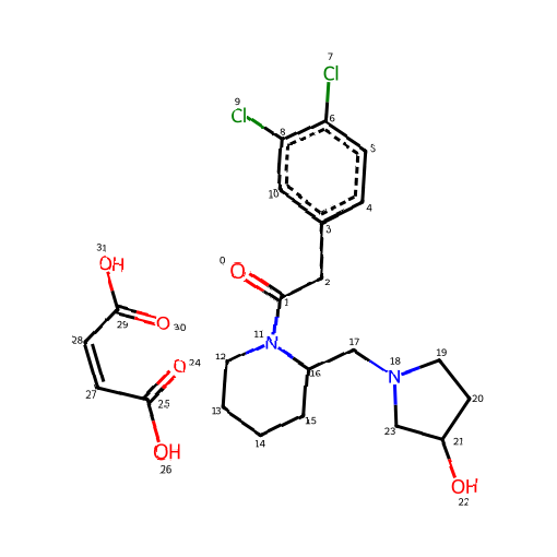 O=C(Cc1ccc(Cl)c(Cl)c1)N1CCCCC1CN1CCC(O)C1.O=C(O)/C=C\C(=O)O